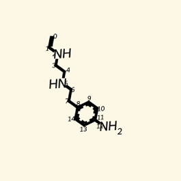 C=CNCCNCCc1ccc(N)cc1